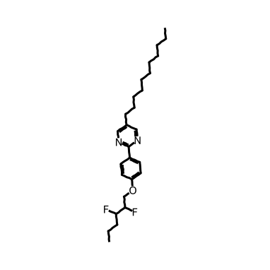 CCCCCCCCCCCc1cnc(-c2ccc(OCC(F)C(F)CCC)cc2)nc1